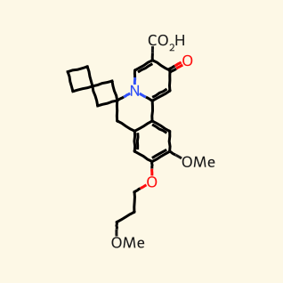 COCCCOc1cc2c(cc1OC)-c1cc(=O)c(C(=O)O)cn1C1(C2)CC2(CCC2)C1